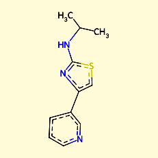 CC(C)Nc1nc(-c2cccnc2)cs1